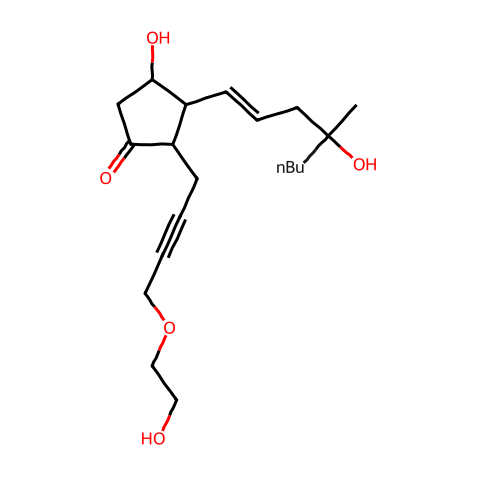 CCCCC(C)(O)C/C=C/C1C(O)CC(=O)C1CC#CCOCCO